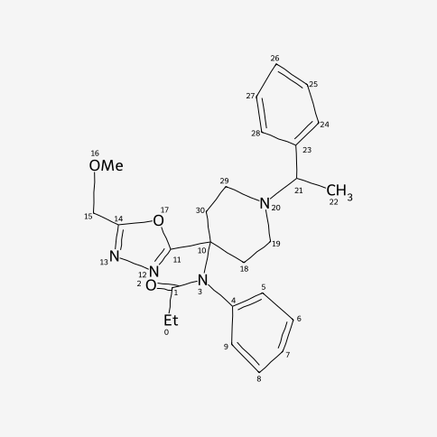 CCC(=O)N(c1ccccc1)C1(c2nnc(COC)o2)CCN(C(C)c2ccccc2)CC1